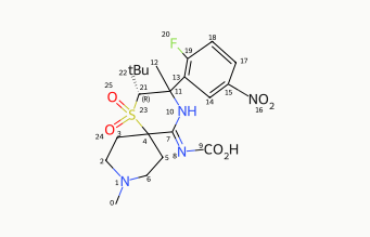 CN1CCC2(CC1)C(=NC(=O)O)NC(C)(c1cc([N+](=O)[O-])ccc1F)[C@@H](C(C)(C)C)S2(=O)=O